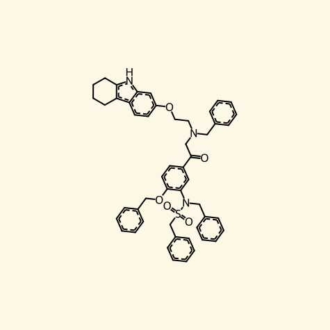 O=C(CN(CCOc1ccc2c3c([nH]c2c1)CCCC3)Cc1ccccc1)c1ccc(OCc2ccccc2)c(N(Cc2ccccc2)S(=O)(=O)Cc2ccccc2)c1